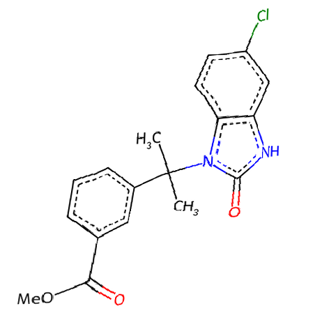 COC(=O)c1cccc(C(C)(C)n2c(=O)[nH]c3cc(Cl)ccc32)c1